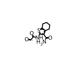 NC(=O)c1c(NC(=O)[C]=O)sc2c1CCCC2